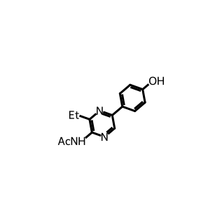 CCc1nc(-c2ccc(O)cc2)cnc1NC(C)=O